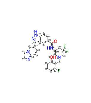 O=C(N[C@H]1CN(Cc2c(O)cccc2F)CC(F)(F)C1)c1ccc2[nH]nc(-c3ccc4nccn4c3)c2c1